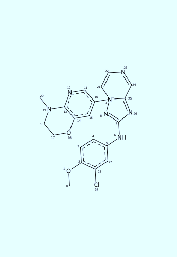 COc1ccc(NC2=N[N+]3(c4cnc5c(c4)OCCN5C)C=CN=CC3=N2)cc1Cl